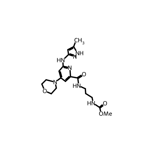 COC(=O)NCCCNC(=O)c1cc(N2CCOCC2)cc(Nc2cc(C)[nH]n2)n1